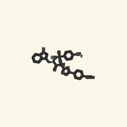 COc1ccc(-c2csc(NC(=O)[C@H](Cc3c[nH]c4ccccc34)NS(=O)(=O)c3ccc(C(F)(F)F)cc3)n2)cc1